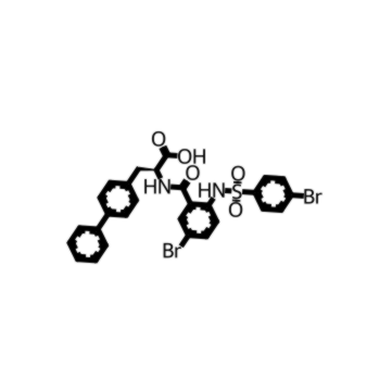 O=C(N[C@@H](Cc1ccc(-c2ccccc2)cc1)C(=O)O)c1cc(Br)ccc1NS(=O)(=O)c1ccc(Br)cc1